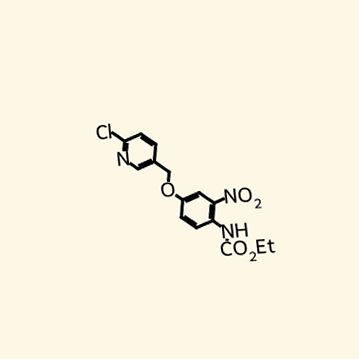 CCOC(=O)Nc1ccc(OCc2ccc(Cl)nc2)cc1[N+](=O)[O-]